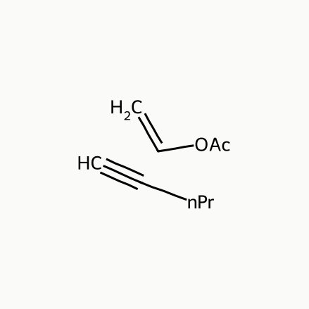 C#CCCC.C=COC(C)=O